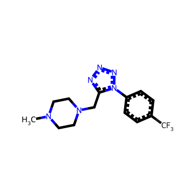 CN1CCN(Cc2nnnn2-c2ccc(C(F)(F)F)cc2)CC1